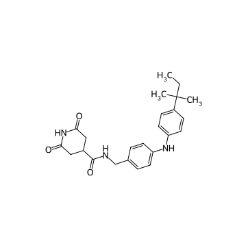 CCC(C)(C)c1ccc(Nc2ccc(CNC(=O)C3CC(=O)NC(=O)C3)cc2)cc1